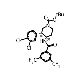 CC(C)(C)OC(=O)N1CC[C@@H](NC(=O)c2cc(C(F)(F)F)cc(C(F)(F)F)c2)[C@H](c2ccc(Cl)c(Cl)c2)C1